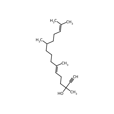 C#CC(C)(O)CC/C=C(\C)CCCC(C)CCC=C(C)C